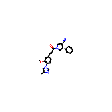 COc1cc(/C=C/C(=O)N2C[C@@H](C#N)[C@H](c3ccccc3)C2)ccc1-n1cnc(C)c1